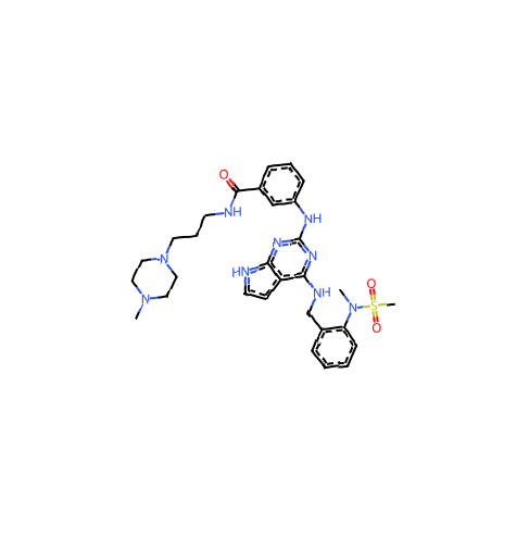 CN1CCN(CCCNC(=O)c2cccc(Nc3nc(NCc4ccccc4N(C)S(C)(=O)=O)c4cc[nH]c4n3)c2)CC1